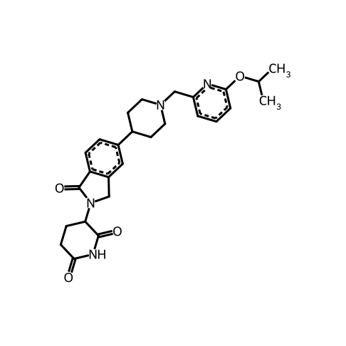 CC(C)Oc1cccc(CN2CCC(c3ccc4c(c3)CN(C3CCC(=O)NC3=O)C4=O)CC2)n1